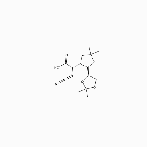 CC1(C)CC([C@H](N=[N+]=[N-])C(=O)O)C([C@H]2COC(C)(C)O2)C1